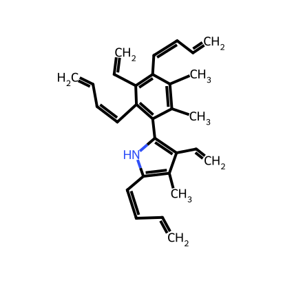 C=C/C=C\c1[nH]c(-c2c(C)c(C)c(/C=C\C=C)c(C=C)c2/C=C\C=C)c(C=C)c1C